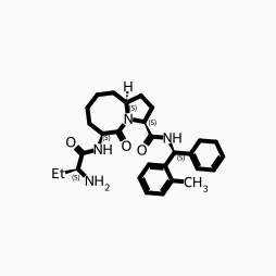 CC[C@H](N)C(=O)N[C@H]1CCCC[C@H]2CC[C@@H](C(=O)N[C@@H](C3=CC=CCC3)c3ccccc3C)N2C1=O